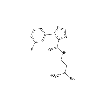 CC(C)(C)N(CCNC(=O)c1ncsc1-c1cccc(F)c1)C(=O)O